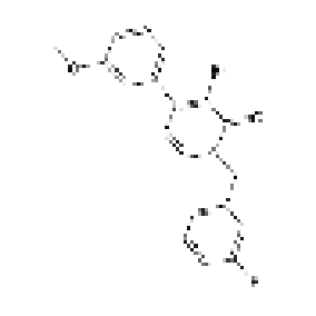 COc1cccc(-c2ccn(Cc3cccc(F)c3)c(=O)c2Br)c1